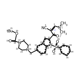 CN(C)/C=C(/C#N)C(=O)c1cc2cc(CN3CCN(C(=O)OC(C)(C)C)CC3)ccc2n1S(=O)(=O)c1ccccc1